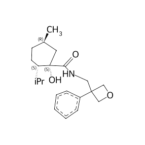 CC(C)[C@@H]1CC[C@@H](C)C[C@@]1(O)C(=O)NCC1(c2ccccc2)COC1